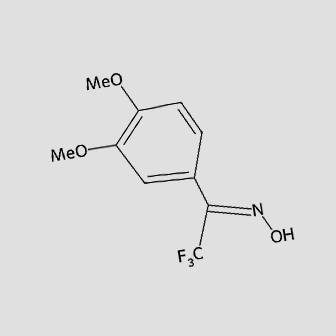 COc1ccc(C(=NO)C(F)(F)F)cc1OC